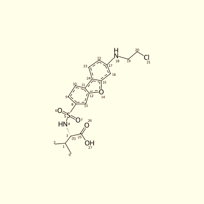 CC(C)[C@H](NS(=O)(=O)c1ccc2c(c1)oc1cc(NCCCl)ccc12)C(=O)O